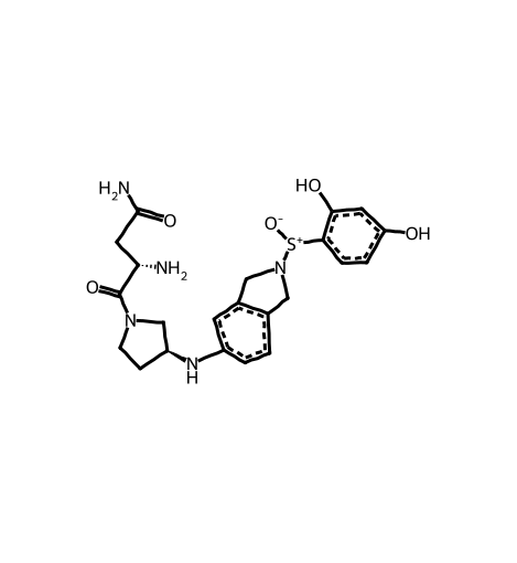 NC(=O)C[C@H](N)C(=O)N1CC[C@H](Nc2ccc3c(c2)CN([S+]([O-])c2ccc(O)cc2O)C3)C1